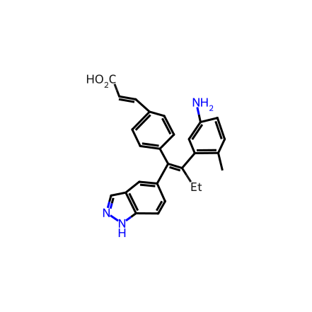 CC/C(=C(/c1ccc(/C=C/C(=O)O)cc1)c1ccc2[nH]ncc2c1)c1cc(N)ccc1C